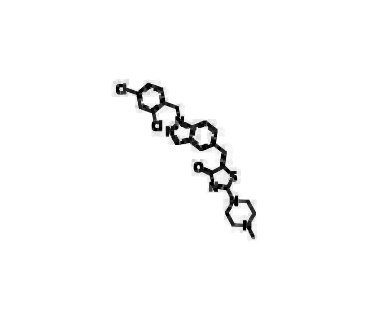 CN1CCN(C2=NC(=O)C(=Cc3ccc4c(cnn4Cc4ccc(Cl)cc4Cl)c3)S2)CC1